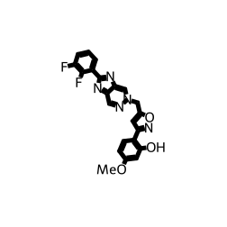 COc1ccc(-c2cc(Cn3cc4nc(-c5cccc(F)c5F)nc-4cn3)on2)c(O)c1